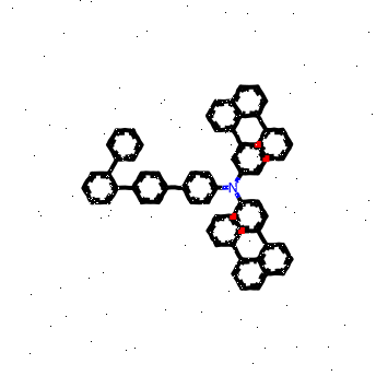 c1ccc(-c2ccccc2-c2ccc(-c3ccc(N(c4ccc(-c5cccc6cccc(-c7ccccc7)c56)cc4)c4cccc(-c5cccc6cccc(-c7ccccc7)c56)c4)cc3)cc2)cc1